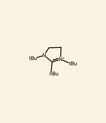 CCCCC1=[N+](C(C)(C)C)CCN1C(C)(C)C